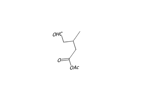 CC(=O)OC(=O)CC(C)CC=O